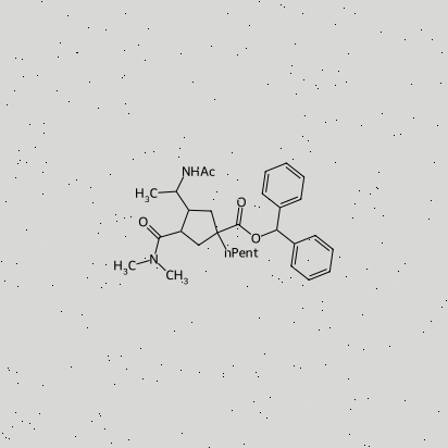 CCCCCC1(C(=O)OC(c2ccccc2)c2ccccc2)CC(C(=O)N(C)C)C(C(C)NC(C)=O)C1